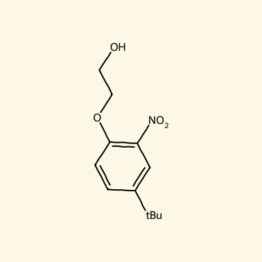 CC(C)(C)c1ccc(OCCO)c([N+](=O)[O-])c1